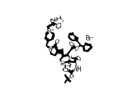 CC(C)(C)OC(=O)N[C@@H]1C(=O)N2C(C(=O)OC(c3ccccc3)c3ccccc3)=C(/C=C3\CCN(Cc4cc[n+](CC(N)=O)cc4)C3=O)CS[C@H]12.[Br-]